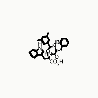 CCC(C)N(C(=O)c1cc(C)cc(C)c1)[C@H](Cc1ccccc1)C(=O)N[C@@H](Cc1c[nH]c2ccccc12)C(=O)O